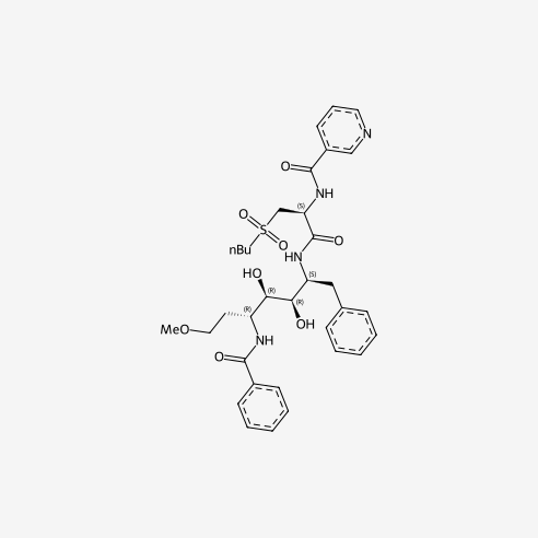 CCCCS(=O)(=O)C[C@@H](NC(=O)c1cccnc1)C(=O)N[C@@H](Cc1ccccc1)[C@@H](O)[C@H](O)[C@@H](CCOC)NC(=O)c1ccccc1